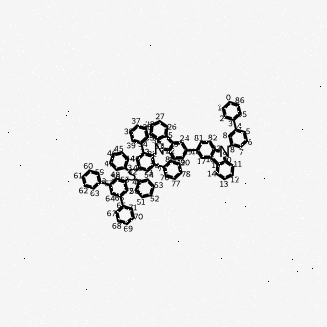 c1ccc(-c2cccc(-n3c4ccccc4c4cc(-c5ccc6c(c5)c5ccccc5n6-c5c(-c6ccccc6)cc(S(c6ccccc6)(c6ccccc6)c6cc(-c7ccccc7)cc(-c7ccccc7)c6)cc5-c5ccccc5)ccc43)c2)cc1